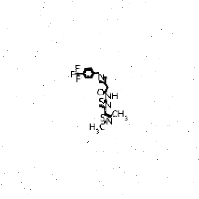 Cc1nc(C)c(-c2csc(NC(=O)CC3CN(Cc4ccc(C(F)(F)F)cc4)C3)n2)s1